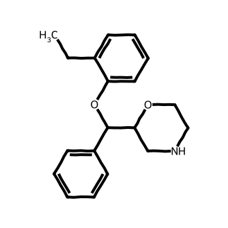 CCc1ccccc1OC(c1ccccc1)C1CNCCO1